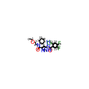 CCOCCN(C(=O)c1cc(NC(=O)c2cc(F)c(F)cc2Cl)[nH]n1)C1CCCCC1